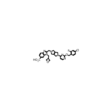 O=C(O)c1ccc2nc(CN3CC4=C(C3)CN(c3ccnc(OCc5ccc(Cl)cc5F)n3)C4)n(CC3COC3)c2c1